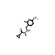 Cc1nc(C(F)(F)F)ccc1CNN(C)C(=O)C1CC1